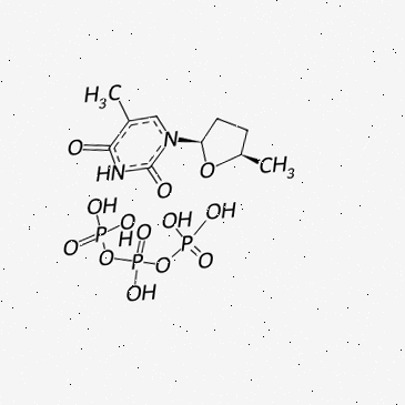 Cc1cn([C@H]2CC[C@@H](C)O2)c(=O)[nH]c1=O.O=P(O)(O)OP(=O)(O)OP(=O)(O)O